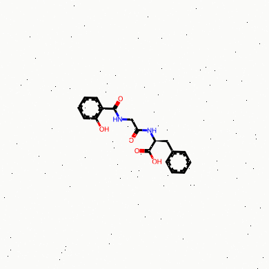 O=C(CNC(=O)c1ccccc1O)N[C@@H](Cc1ccccc1)C(=O)O